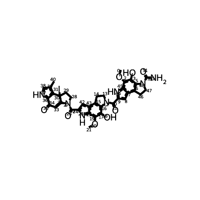 COc1c(O)c2c(c3cc(C(=O)N4CCc5c4c(O)c(OC)c4[nH]c(C(=O)N6CCC7(I)C6=CC(=O)c6[nH]cc(C)c67)cc54)[nH]c13)CCN2C(N)=O